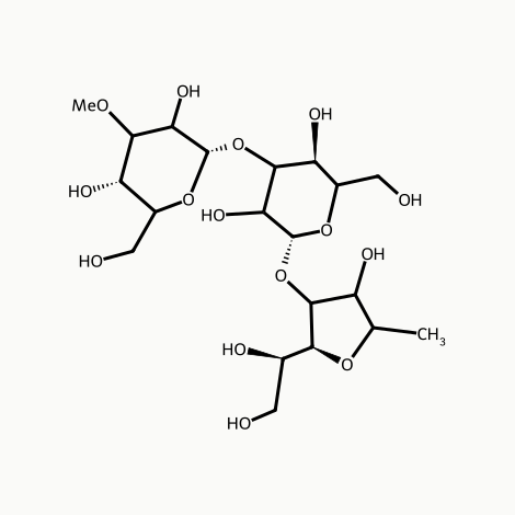 COC1C(O)[C@H](OC2C(O)[C@@H](OC3C(O)C(C)O[C@H]3[C@H](O)CO)OC(CO)[C@@H]2O)OC(CO)[C@@H]1O